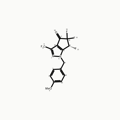 COc1ccc(Cn2nc(C(F)(F)F)c3c2[C@@H](F)C(F)(F)C3=O)cc1